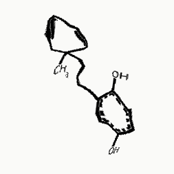 CC1(CCc2cc(O)ccc2O)C=CC=CC1